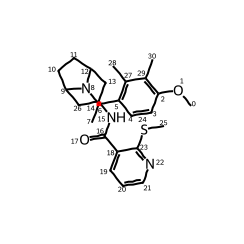 COc1ccc(C(C)N2C3CCC2CC(NC(=O)c2cccnc2SC)C3)c(C)c1C